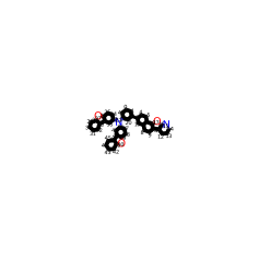 c1cc(-c2ccc3c(ccc4c5cccnc5oc34)c2)cc(N(c2ccc3oc4ccccc4c3c2)c2ccc3oc4ccccc4c3c2)c1